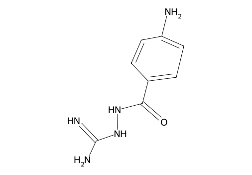 N=C(N)NNC(=O)c1ccc(N)cc1